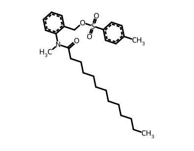 CCCCCCCCCCCCC(=O)N(C)c1ccccc1COS(=O)(=O)c1ccc(C)cc1